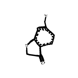 [2H]c1ccc2c(c1)OCC2=O